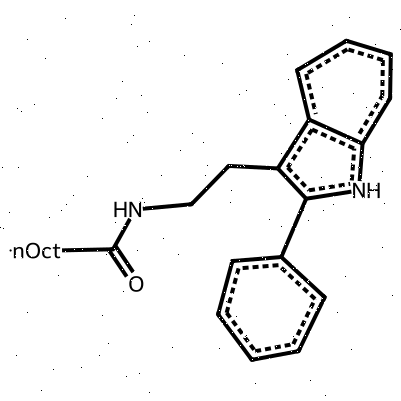 CCCCCCC[CH]C(=O)NCCc1c(-c2ccccc2)[nH]c2ccccc12